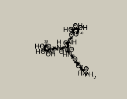 C[C@@H]1O[C@@H](OCCNC(=O)CN(CC(=O)NCCOCCOCCC(=O)NP)CC(=O)NCCO[C@@H]2O[C@@H](C)[C@@H](O)[C@@H](O)[C@@H]2O)[C@@H](O)[C@H](O)[C@@H]1O